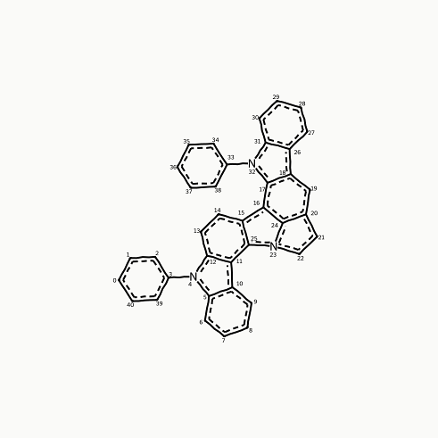 c1ccc(-n2c3ccccc3c3c2ccc2c4c5c(cc6ccn(c64)c23)c2ccccc2n5-c2ccccc2)cc1